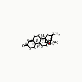 C=C1CC23CC[C@@]1(C(C)=O)[C@@]2(C)CC[C@H]1[C@H]3CCC2=CC(=O)CC[C@@H]21